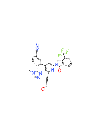 COCC#Cc1cc(-c2cc(C#N)ccc2-c2nncn2C)cc(N2Cc3c(cccc3C(F)(F)F)C2=O)n1